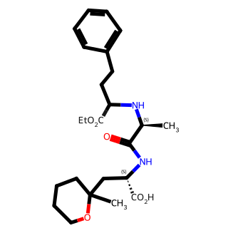 CCOC(=O)C(CCc1ccccc1)N[C@@H](C)C(=O)N[C@@H](CC1(C)CCCCO1)C(=O)O